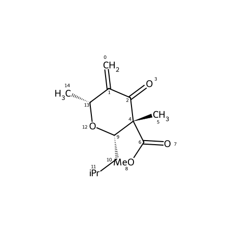 C=C1C(=O)[C@](C)(C(=O)OC)[C@H](CC(C)C)O[C@@H]1C